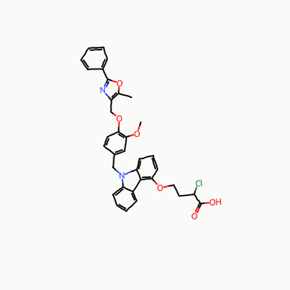 COc1cc(Cn2c3ccccc3c3c(OCCC(Cl)C(=O)O)cccc32)ccc1OCc1nc(-c2ccccc2)oc1C